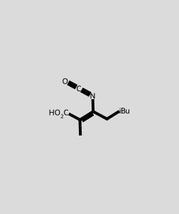 CCC(C)CC(N=C=O)=C(C)C(=O)O